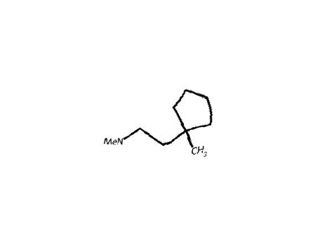 CNCCC1(C)CCCC1